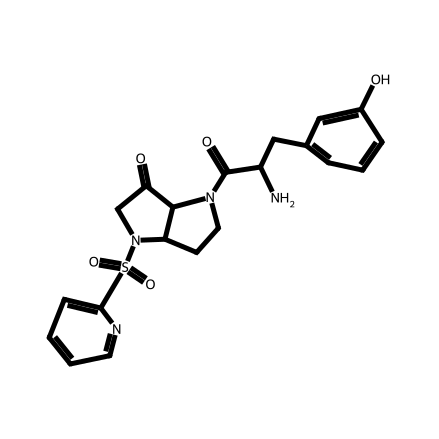 NC(Cc1cccc(O)c1)C(=O)N1CCC2C1C(=O)CN2S(=O)(=O)c1ccccn1